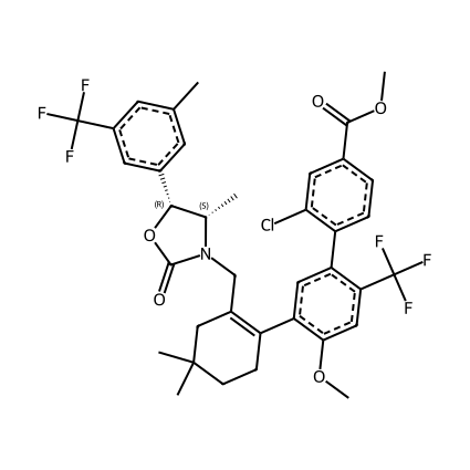 COC(=O)c1ccc(-c2cc(C3=C(CN4C(=O)O[C@H](c5cc(C)cc(C(F)(F)F)c5)[C@@H]4C)CC(C)(C)CC3)c(OC)cc2C(F)(F)F)c(Cl)c1